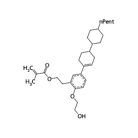 C=C(C)C(=O)OCCc1cc(C2=CCC(C3CCC(CCCCC)CC3)CC2)ccc1OCCO